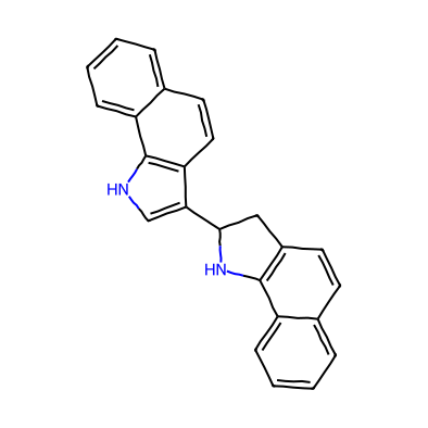 c1ccc2c3c(ccc2c1)CC(c1c[nH]c2c1ccc1ccccc12)N3